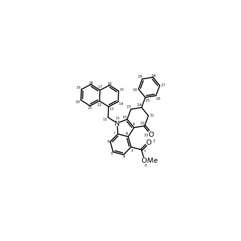 COC(=O)c1cccc2c1c1c(n2Cc2cccc3ccccc23)CC(c2ccccc2)CC1=O